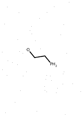 [O]CCP